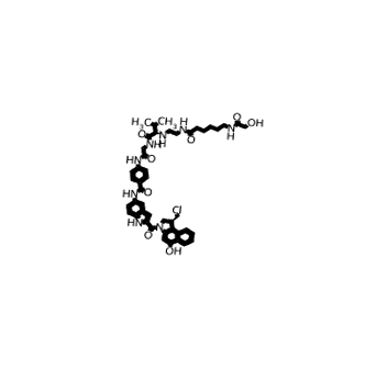 CC(C)[C@H](NCCNC(=O)CCCCCNC(=O)CO)C(=O)NCC(=O)Nc1ccc(C(=O)Nc2ccc3[nH]c(C(=O)N4C[C@@H](CCl)c5c4cc(O)c4ccccc54)cc3c2)cc1